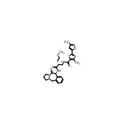 COCC[C@H](CNC(=O)c1sc(-c2cc(C)no2)nc1C)C(=O)N[C@@H]1C(=O)N2CCCN2Cc2ccccc21